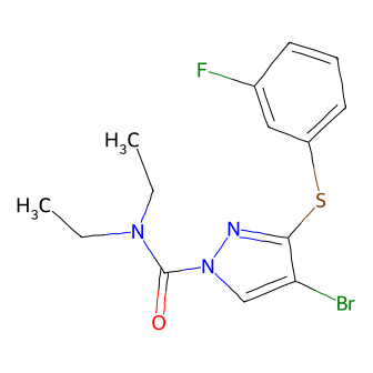 CCN(CC)C(=O)n1cc(Br)c(Sc2cccc(F)c2)n1